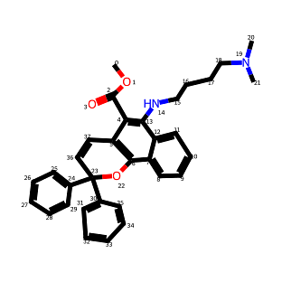 COC(=O)c1c2c(c3ccccc3c1NCCCCN(C)C)OC(c1ccccc1)(c1ccccc1)C=C2